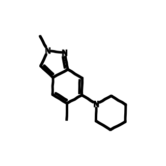 Cc1cc2cn(C)nc2cc1N1CCCCC1